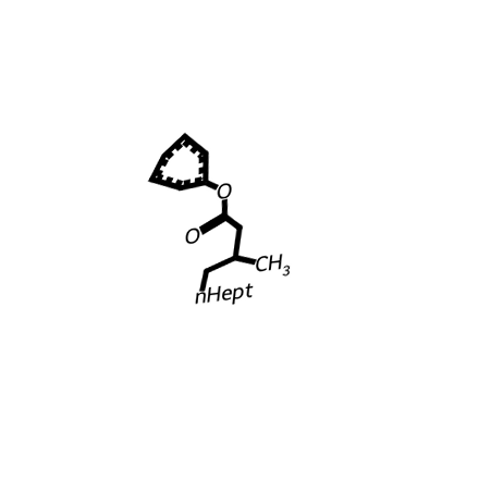 CCCCCCCCC(C)CC(=O)Oc1ccccc1